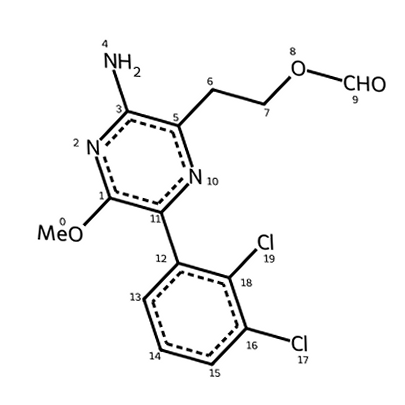 COc1nc(N)c(CCOC=O)nc1-c1cccc(Cl)c1Cl